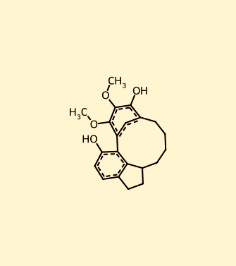 COc1c2cc(c(O)c1OC)CCCCC1CCc3ccc(O)c-2c31